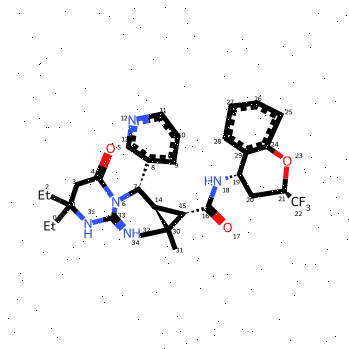 CCC1(CC)CC(=O)N([C@H](c2cccnc2)[C@H]2[C@H](C(=O)N[C@H]3C[C@H](C(F)(F)F)Oc4ccccc43)C2(C)C)C(=N)N1